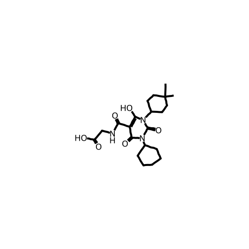 CC1(C)CCC(n2c(O)c(C(=O)NCC(=O)O)c(=O)n(C3CCCCC3)c2=O)CC1